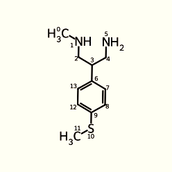 CNCC(CN)c1ccc(SC)cc1